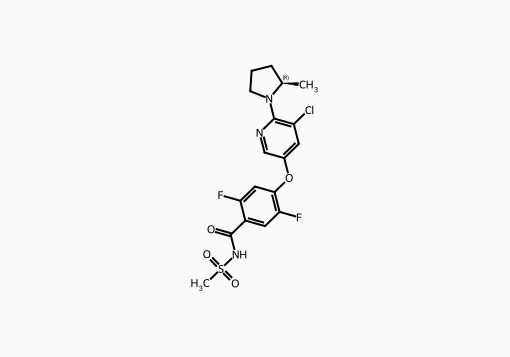 C[C@@H]1CCCN1c1ncc(Oc2cc(F)c(C(=O)NS(C)(=O)=O)cc2F)cc1Cl